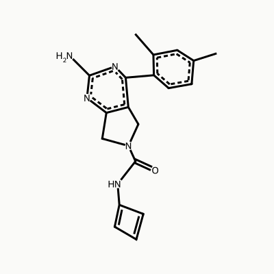 Cc1ccc(-c2nc(N)nc3c2CN(C(=O)NC2=CC=C2)C3)c(C)c1